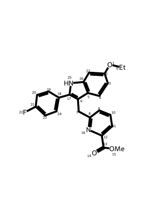 CCOc1ccc2c(Cc3cccc(C(=O)OC)n3)c(-c3ccc(F)cc3)[nH]c2c1